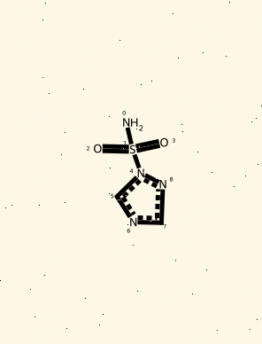 NS(=O)(=O)n1cncn1